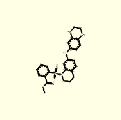 COC(=O)c1ccccc1S(=O)(=O)N1CCCc2ccc(Sc3ccc4c(c3)OCCO4)cc21